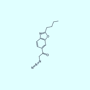 CCCCc1nc2ccc(C(=O)CN=[N+]=[N-])cc2o1